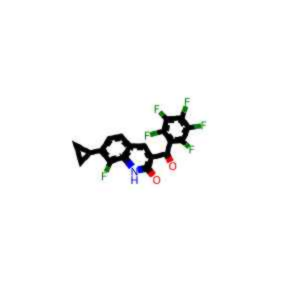 O=C(c1c(F)c(F)c(F)c(F)c1F)c1cc2ccc(C3CC3)c(F)c2[nH]c1=O